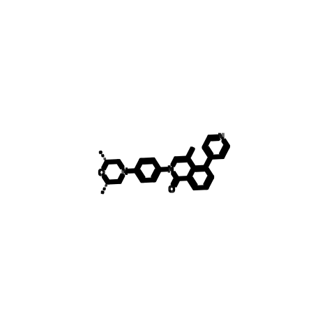 Cc1cn(-c2ccc(N3C[C@@H](C)O[C@@H](C)C3)cc2)c(=O)c2cccc(-c3ccncc3)c12